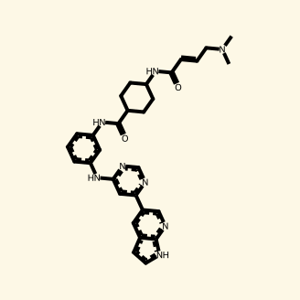 CN(C)C/C=C/C(=O)NC1CCC(C(=O)Nc2cccc(Nc3cc(-c4cnc5[nH]ccc5c4)ncn3)c2)CC1